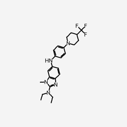 CCN(CC)c1nc2ccc(Nc3ccc(N4CCC(C(F)(F)F)CC4)cc3)cc2n1C